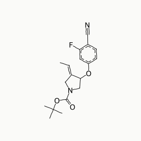 CC=C1CN(C(=O)OC(C)(C)C)CC1Oc1ccc(C#N)c(F)c1